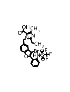 CCc1nc(C)c(C(=O)O)n1Cc1ccc2oc(-c3ccccc3NS(=O)(=O)C(F)(F)F)c(Br)c2c1